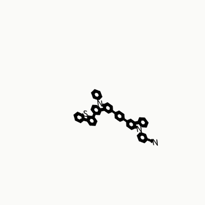 N#Cc1cccc(-n2c3ccccc3c3cc(-c4ccc(-c5ccc6c(c5)c5cc(-c7cccc8c7sc7ccccc78)ccc5n6-c5ccccc5)cc4)ccc32)c1